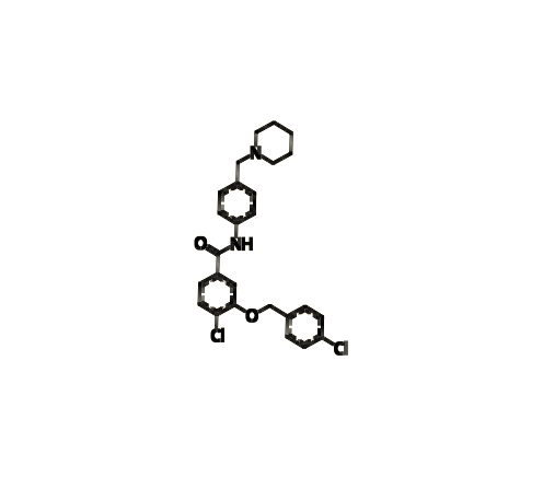 O=C(Nc1ccc(CN2CCCCC2)cc1)c1ccc(Cl)c(OCc2ccc(Cl)cc2)c1